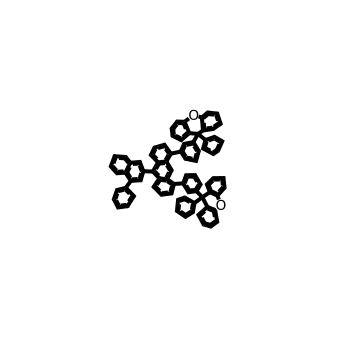 c1ccc(-c2cc(-c3c4cccc(-c5cccc(C6(c7ccccc7)c7ccccc7Oc7ccccc76)c5)c4cc4c(-c5cccc(C6(c7ccccc7)c7ccccc7Oc7ccccc76)c5)cccc34)cc3ccccc23)cc1